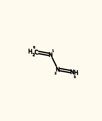 C=NN=N